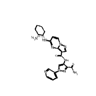 NC(=O)c1nn(-c2cccnc2)cc1NC(=O)c1cnn2ccc(N[C@H]3CCCC[C@H]3N)nc12